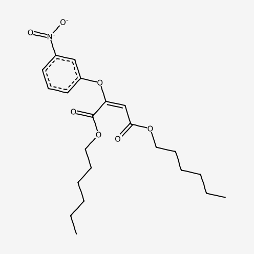 CCCCCCOC(=O)C=C(Oc1cccc([N+](=O)[O-])c1)C(=O)OCCCCCC